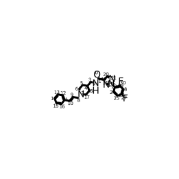 O=C(NCC1CCN(CC=Cc2ccccc2)CC1)c1cnn(-c2ccc(F)cc2F)n1